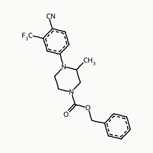 CC1CN(C(=O)OCc2ccccc2)CCN1c1ccc(C#N)c(C(F)(F)F)c1